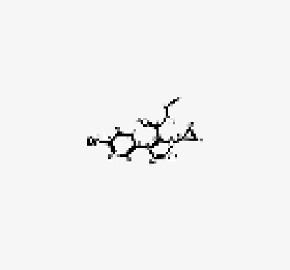 CCOC(=O)c1c(-c2ccc(Br)cc2)cnn1C1CC1